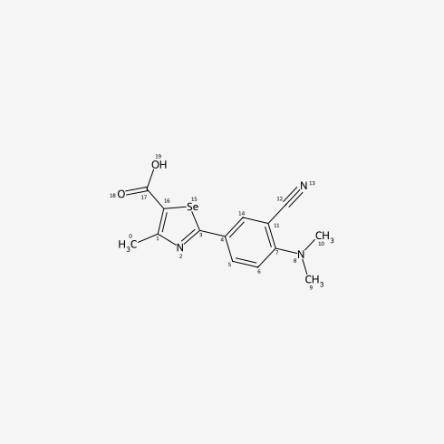 Cc1nc(-c2ccc(N(C)C)c(C#N)c2)[se]c1C(=O)O